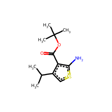 CC(C)c1csc(N)c1C(=O)OC(C)(C)C